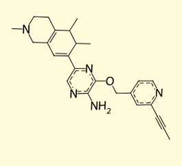 CC#Cc1cc(COc2nc(C3=CC4=C(CCN(C)C4)C(C)C3C)cnc2N)ccn1